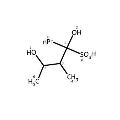 CCCC(O)([C](C)C(C)O)S(=O)(=O)O